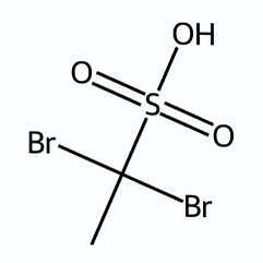 CC(Br)(Br)S(=O)(=O)O